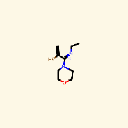 C=C(S)/C(=N\CC)N1CCOCC1